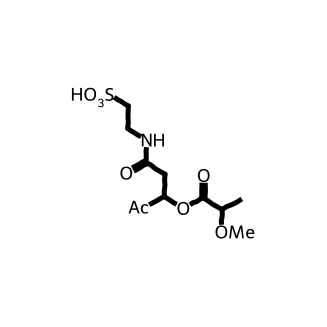 COC(C)C(=O)OC(CC(=O)NCCS(=O)(=O)O)C(C)=O